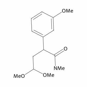 CNC(=O)C(CC(OC)OC)c1cccc(OC)c1